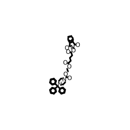 O=C(CCCC(=O)ON1C(=O)C2C3C=CC(C3)C2C1=O)OCCOC(=O)N1CCN(C(c2ccccc2)(c2ccccc2)c2ccccc2)CC1